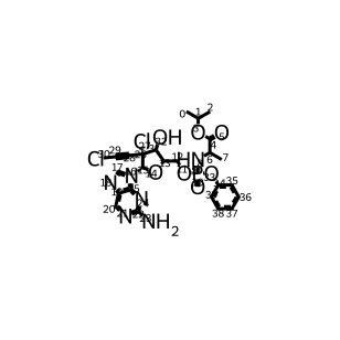 CC(C)OC(=O)C(C)NP(=O)(OCC1O[C@@H](n2cnc3cnc(N)nc32)[C@@](Cl)(C#CCl)C1O)Oc1ccccc1